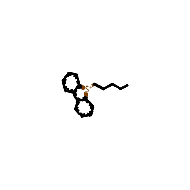 CCCCC[s+]1c2ccccc2c2ccccc21